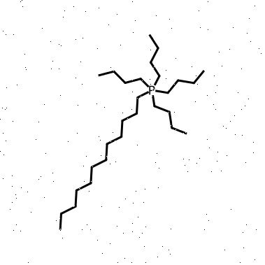 CCCCCCCCCCCCP(CCCC)(CCCC)(CCCC)CCCC